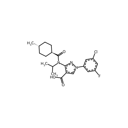 CC(C)N(c1nn(-c2cc(F)cc(Cl)c2)cc1C(=O)O)C(=O)[C@H]1CC[C@H](C)CC1